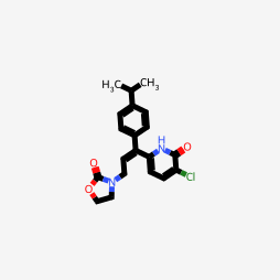 CC(C)c1ccc(C(=CCN2CCOC2=O)c2ccc(Cl)c(=O)[nH]2)cc1